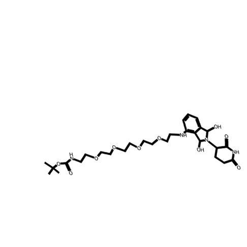 CC(C)(C)OC(=O)NCCOCCOCCOCCOCCNc1cccc2c1C(O)N(C1CCC(=O)NC1=O)C2O